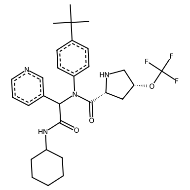 CC(C)(C)c1ccc(N(C(=O)[C@H]2C[C@@H](OC(F)(F)F)CN2)C(C(=O)NC2CCCCC2)c2cccnc2)cc1